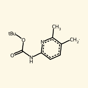 [CH2]c1ccc(NC(=O)OC(C)(C)C)nc1C